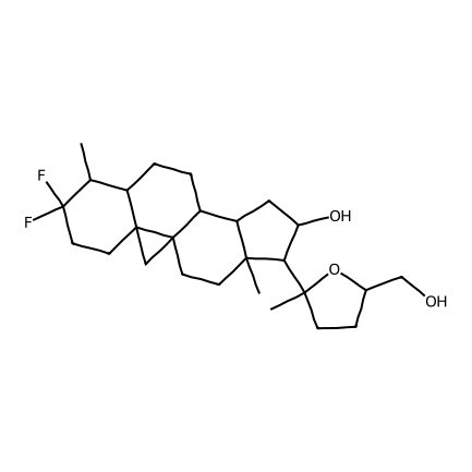 CC1C2CCC3C4CC(O)C(C5(C)CCC(CO)O5)C4(C)CCC34CC24CCC1(F)F